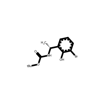 C[C@@H](NC(=O)OC(C)(C)C)c1cccc(Br)c1O